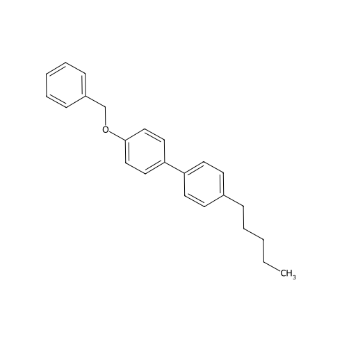 CCCCCc1ccc(-c2ccc(OCc3ccccc3)cc2)cc1